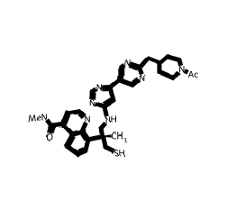 CNC(=O)c1ccnc2c([C@@](C)(CS)CNc3cc(-c4cnc(CC5CCN(C(C)=O)CC5)nc4)ncn3)cccc12